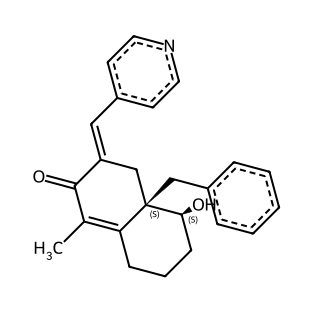 CC1=C2CCC[C@H](O)[C@@]2(Cc2ccccc2)CC(=Cc2ccncc2)C1=O